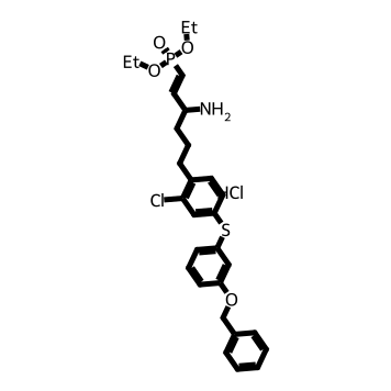 CCOP(=O)(C=CC(N)CCCc1ccc(Sc2cccc(OCc3ccccc3)c2)cc1Cl)OCC.Cl